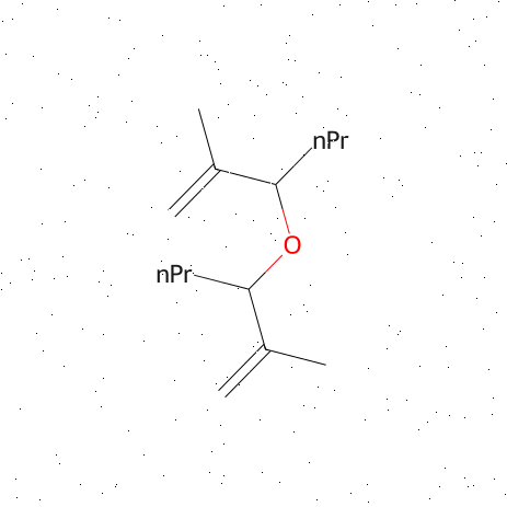 C=C(C)C(CCC)OC(CCC)C(=C)C